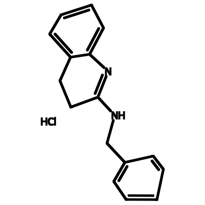 Cl.c1ccc(CNC2=Nc3ccccc3CC2)cc1